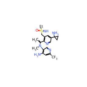 C=C(c1ncc(C2(N)CC2)cc1CS(=N)(=O)CC)N(C)c1cnc(C(F)(F)F)cc1N